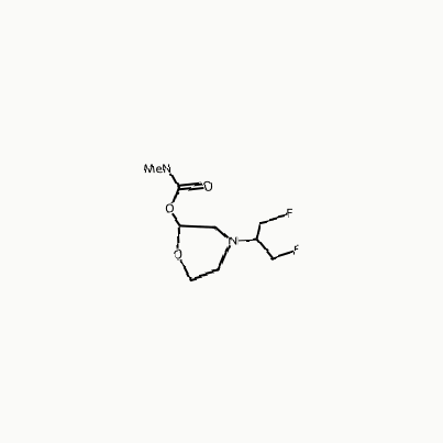 CNC(=O)OC1CN(C(CF)CF)CCO1